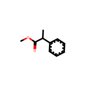 COC(=O)C(C)c1cc[c]cc1